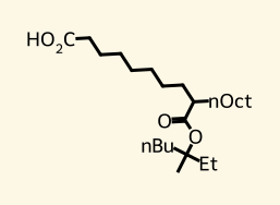 CCCCCCCCC(CCCCCCCC(=O)O)C(=O)OC(C)(CC)CCCC